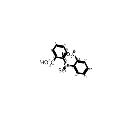 O=C(O)c1ccccc1[Se](=[Se])c1ccccc1C(=O)O